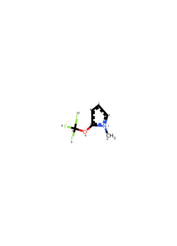 Cn1c[c]cc1OC(F)(F)F